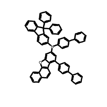 c1ccc(-c2ccc(-c3cc(N(c4ccc(-c5ccccc5)cc4)c4ccc5c(c4)C(c4ccccc4)(c4ccccc4)c4ccccc4-5)cc4oc5c6ccccc6ccc5c34)cc2)cc1